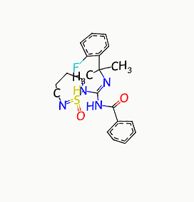 CC(C)(/N=C(/NC(=O)c1ccccc1)N1CCCCN=[SH]1=O)c1ccccc1F